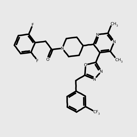 Cc1nc(C)c(-c2nnc(Cc3cccc(C(F)(F)F)c3)o2)c(C2CCN(C(=O)Cc3c(F)cccc3F)CC2)n1